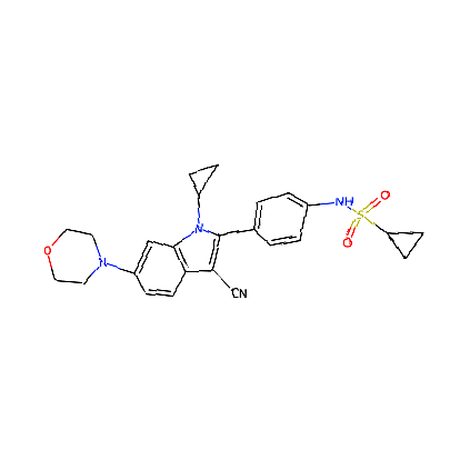 N#Cc1c(-c2ccc(NS(=O)(=O)C3CC3)cc2)n(C2CC2)c2cc(N3CCOCC3)ccc12